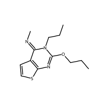 CCCOc1nc2sccc2c(=NC)n1CCC